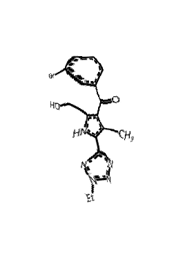 [CH2]Cn1nnc(-c2[nH]c(CO)c(C(=O)c3cccc(Br)c3)c2C)n1